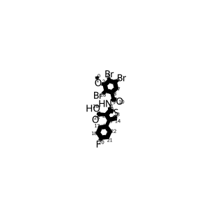 COc1c(Br)c(Br)cc(C(=O)Nc2scc(-c3ccc(F)cc3)c2C(=O)O)c1Br